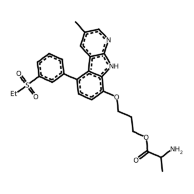 CCS(=O)(=O)c1cccc(-c2ccc(OCCCOC(=O)C(C)N)c3[nH]c4ncc(C)cc4c23)c1